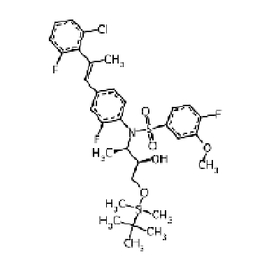 COc1cc(S(=O)(=O)N(c2ccc(C=C(C)c3c(F)cccc3Cl)cc2F)[C@H](C)[C@@H](O)CO[Si](C)(C)C(C)(C)C)ccc1F